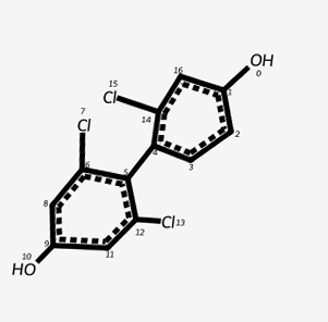 Oc1ccc(-c2c(Cl)cc(O)cc2Cl)c(Cl)c1